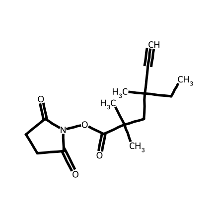 C#CC(C)(CC)CC(C)(C)C(=O)ON1C(=O)CCC1=O